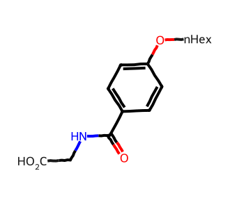 CCCCCCOc1ccc(C(=O)NCC(=O)O)cc1